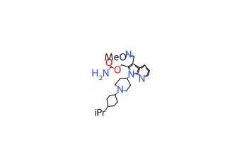 CO/N=C\c1c(COC(N)=O)n(C2CCN(C3CCC(C(C)C)CC3)CC2)c2ncccc12